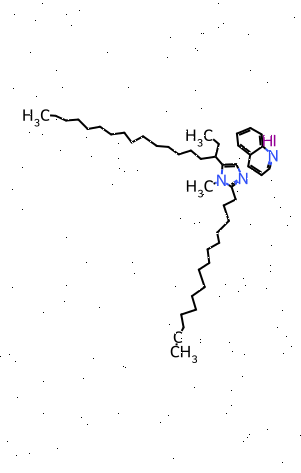 CCCCCCCCCCCCCCCc1ncc(C(CC)CCCCCCCCCCCCCCC)n1C.I.c1ccc2ncccc2c1